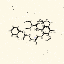 CCN(CC)C(=O)Nc1c(C/C=C(\C)CCC(=O)Oc2ccccc2Cl)c(OC)c(C)c2c1C(=O)OC2